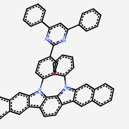 c1ccc(-c2cc(-c3ccccc3)nc(-c3ccc(-n4c5cc6ccccc6cc5c5ccc6c7cc8ccccc8cc7n(-c7ccccc7)c6c54)cc3)n2)cc1